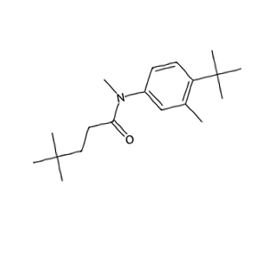 Cc1cc(N(C)C(=O)CCC(C)(C)C)ccc1C(C)(C)C